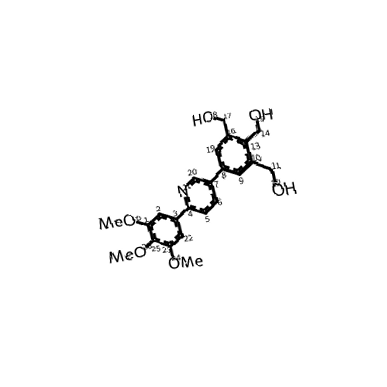 COc1cc(-c2ccc(-c3cc(CO)c(CO)c(CO)c3)cn2)cc(OC)c1OC